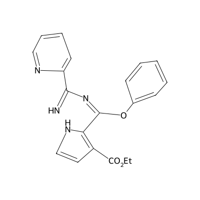 CCOC(=O)c1cc[nH]c1/C(=N\C(=N)c1ccccn1)Oc1ccccc1